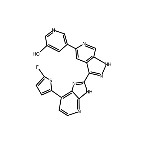 Oc1cncc(-c2cc3c(-c4nc5c(-c6ccc(F)s6)ccnc5[nH]4)n[nH]c3cn2)c1